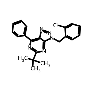 CC(C)(C)c1nc(-c2ccccc2)c2nnn(Cc3ccccc3Cl)c2n1